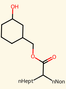 CCCCCCCCCC(CCCCCCC)C(=O)OCC1CCCC(O)C1